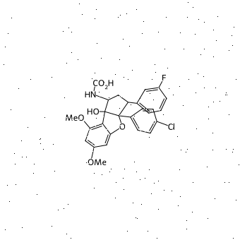 COc1cc(OC)c2c(c1)OC1(c3ccc(Cl)cc3)C(c3cccc(F)c3)CC(NC(=O)O)C21O